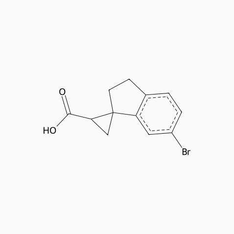 O=C(O)C1CC12CCc1ccc(Br)cc12